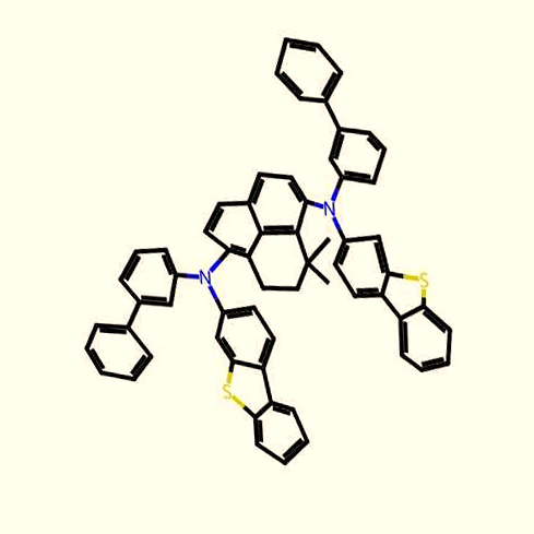 CC1(C)CCc2c(N(c3cccc(-c4ccccc4)c3)c3ccc4c(c3)sc3ccccc34)ccc3ccc(N(c4cccc(-c5ccccc5)c4)c4ccc5c(c4)sc4ccccc45)c1c23